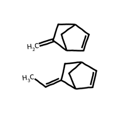 C=C1CC2C=CC1C2.CC=C1CC2C=CC1C2